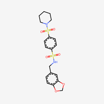 O=S(=O)(NCc1ccc2c(c1)OCO2)c1ccc(S(=O)(=O)N2CCCCC2)cc1